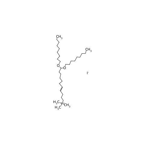 CCCCCCCCCOC(CCCCC/C=C/CCC[P+](C)(C)C)OCCCCCCCCC.[I-]